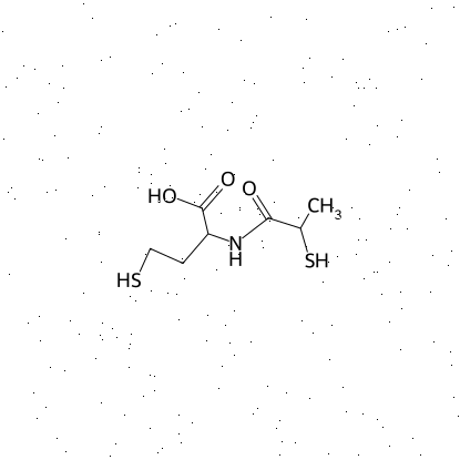 CC(S)C(=O)NC(CCS)C(=O)O